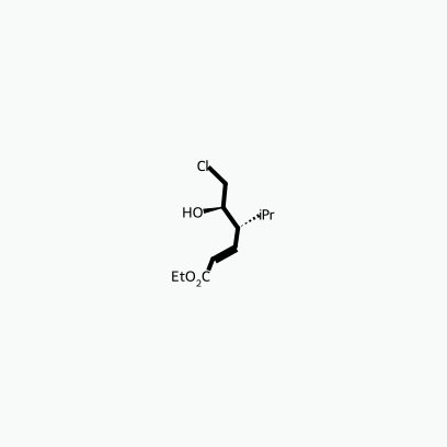 CCOC(=O)/C=C/[C@@H](C(C)C)[C@@H](O)CCl